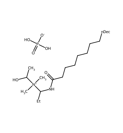 CCCCCCCCCCCCCCCCCC(=O)NC(CC)[N+](C)(C)C(C)O.O=P([O-])(O)O